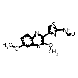 COc1ccc2nc(-c3csc(NC=O)n3)c(OC)nc2c1